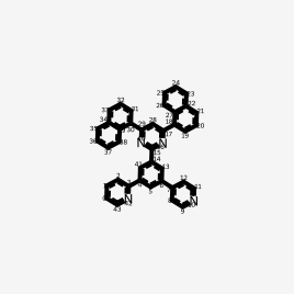 c1ccc(-c2cc(-c3ccncc3)cc(-c3nc(-c4cccc5ccccc45)cc(-c4cccc5ccccc45)n3)c2)nc1